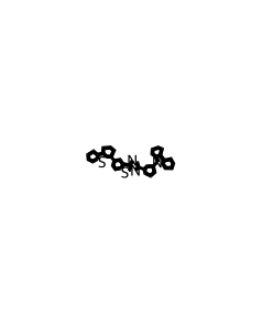 c1cc(-c2cnc3c(n2)sc2ccc(-c4cccc5c4sc4ccccc45)cc23)cc(-n2c3ccccc3c3ccccc32)c1